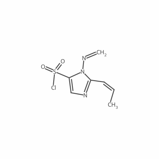 C=Nn1c(S(=O)(=O)Cl)cnc1/C=C\C